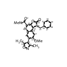 CNC(=O)c1nc2cc(-c3c(C)noc3C)c(OC)cc2c2c1oc(=O)n2Cc1ccccc1